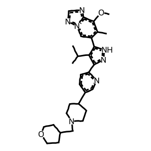 COc1c(C)c(-c2[nH]nc(-c3ccc(C4CCN(CC5CCOCC5)CC4)cn3)c2C(C)C)cn2ncnc12